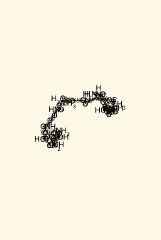 C=c1ccc2c(c1S(=O)(=O)O)Oc1c(ccc(N)c1S(=O)(=O)O)C=2c1cc(C(=O)NCCOCCOCCNC(=O)OCCC(C)(C)SSCOCCCCOC(=O)NCC#CC2=CN([C@H]3C[C@H](OCS(C)=S)[C@@H](COP(=O)(O)OP(=O)(O)OP(=O)(O)O)O3)C(=O)NC2N)ccc1C(=O)O